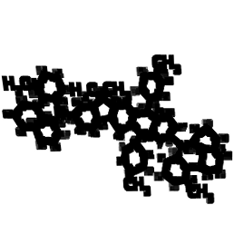 Cc1ccc(-c2c3cc(N(c4cccc(C)c4)c4cccc5ccccc45)ccc3c(-c3ccc(C)cc3)c3cc4c(cc23)-c2ccc(N(c3cccc(C)c3)c3cccc5ccccc35)cc2C4(C)C)cc1